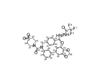 O=C(NNC(=O)C(F)(F)F)c1ccc(CN(C(=O)N2CCS(=O)(=O)CC2)c2cccc(-c3ccc4c(c3)OCO4)c2)cc1